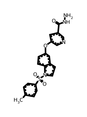 Cc1ccc(S(=O)(=O)n2ccc3cc(Oc4cncc(C(=O)NN)c4)ccc32)cc1